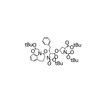 CC(C)(C)OC(=O)CN1C(=O)[C@H](N(C(=O)OC(C)(C)C)[C@@H](CCc2ccccc2)C(=O)O[C@@H]2C[C@@H](C(=O)OC(C)(C)C)N(C(=O)OC(C)(C)C)C2)CCc2ccccc21